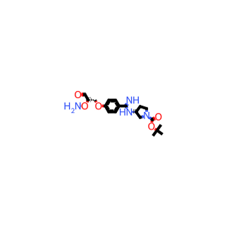 CC(C)(C)OC(=O)N1CC[C@H](NC(=N)c2ccc(OC[C@@H](C=O)ON)cc2)C1